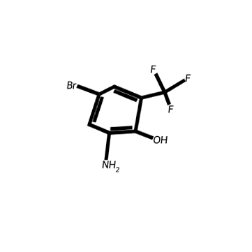 Nc1cc(Br)cc(C(F)(F)F)c1O